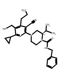 CCCc1c(C#N)c(N2CCN(C(=O)NCc3ccccc3)[C@H](C(C)C)C2)nc(C2CC2)c1CO